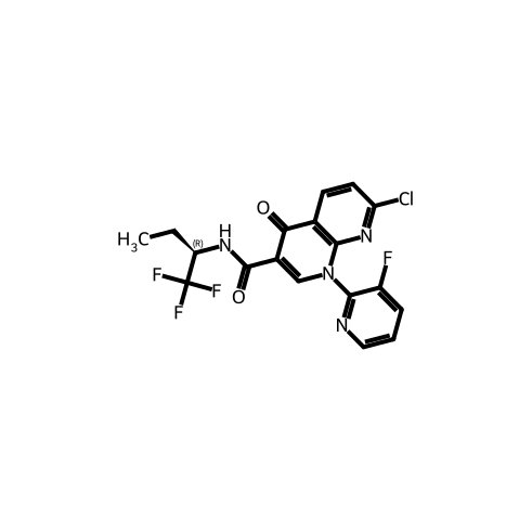 CC[C@@H](NC(=O)c1cn(-c2ncccc2F)c2nc(Cl)ccc2c1=O)C(F)(F)F